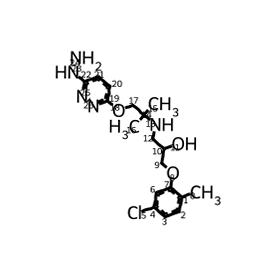 Cc1ccc(Cl)cc1OCC(O)CNC(C)(C)COc1ccc(NN)nn1